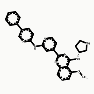 COc1cncc2nc(-c3ccnc(Nc4ccc(-c5ccccc5)cn4)c3)nc(N[C@@H]3CCNC3)c12